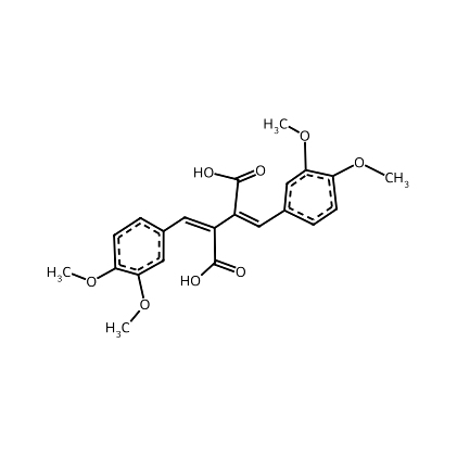 COc1ccc(C=C(C(=O)O)C(=Cc2ccc(OC)c(OC)c2)C(=O)O)cc1OC